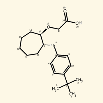 CC(C)(C)c1ccc(S[C@@H]2CCCCC[C@H]2OCC(=O)O)cc1